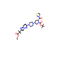 CCOC(=O)C(C)(C)c1cn2nc(N3CCN([C@H]4C[C@@H](C(=O)N5CCSC5)N(C(=O)OC(C)(C)C)C4)CC3)ccc2n1